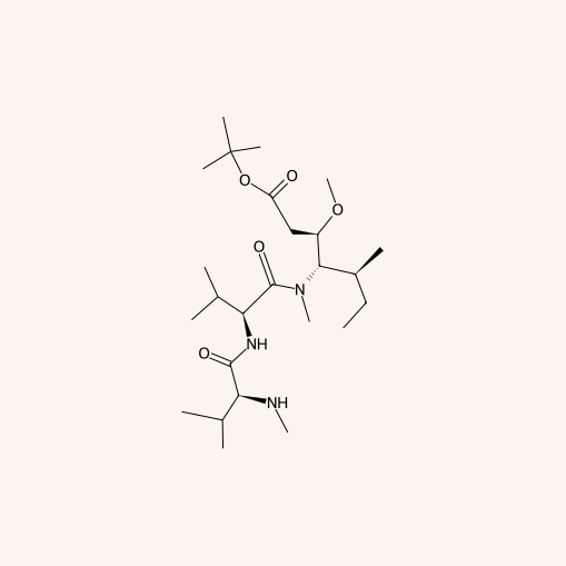 CC[C@H](C)[C@@H]([C@@H](CC(=O)OC(C)(C)C)OC)N(C)C(=O)[C@@H](NC(=O)[C@@H](NC)C(C)C)C(C)C